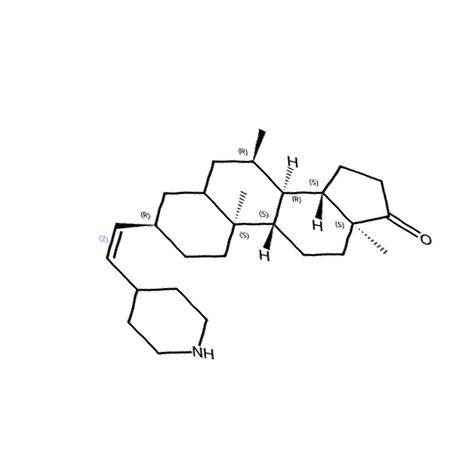 C[C@@H]1CC2C[C@H](/C=C\C3CCNCC3)CC[C@]2(C)[C@H]2CC[C@]3(C)C(=O)CC[C@H]3[C@H]12